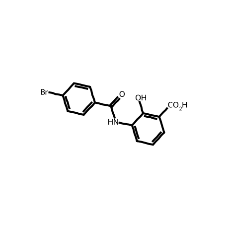 O=C(Nc1cccc(C(=O)O)c1O)c1ccc(Br)cc1